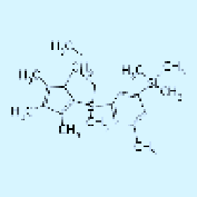 CCCC[Si](C)(C1=C(C)C(C)=C(C)C1C)c1cc(C)cc([Si](C)(C)C)c1